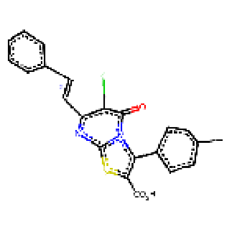 Cc1ccc(-c2c(C(=O)O)sc3nc(/C=C/c4ccccc4)c(Cl)c(=O)n23)cc1